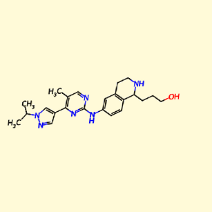 Cc1cnc(Nc2ccc3c(c2)CCNC3CCCO)nc1-c1cnn(C(C)C)c1